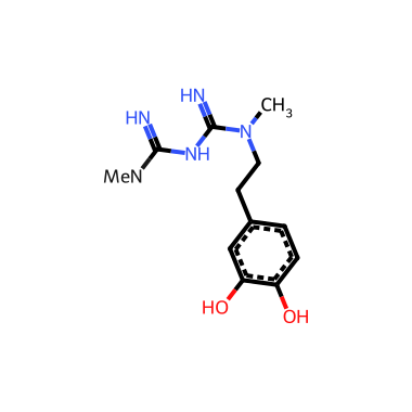 CNC(=N)NC(=N)N(C)CCc1ccc(O)c(O)c1